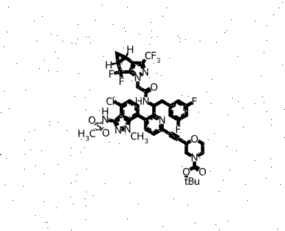 Cn1nc(NS(C)(=O)=O)c2c(Cl)ccc(-c3ccc(C#CC4CN(C(=O)OC(C)(C)C)CCO4)nc3C(Cc3cc(F)cc(F)c3)NC(=O)Cn3nc(C(F)(F)F)c4c3C(F)(F)[C@@H]3C[C@H]43)c21